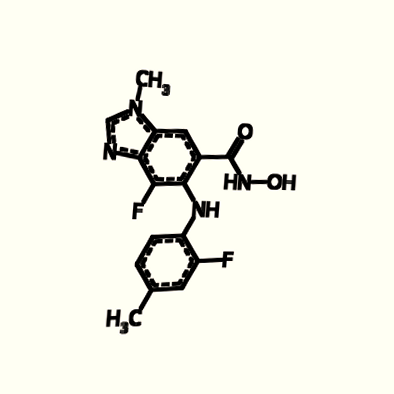 Cc1ccc(Nc2c(C(=O)NO)cc3c(ncn3C)c2F)c(F)c1